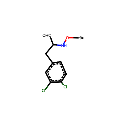 CC(C)(C)ONC(C=O)Cc1ccc(Cl)c(Cl)c1